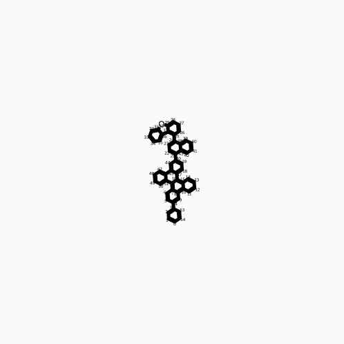 c1ccc(-c2ccc3c(c2)c2ccccc2c2c4ccc(-c5ccc(-c6cccc7oc8ccccc8c67)c6ccccc56)cc4c4ccccc4c32)cc1